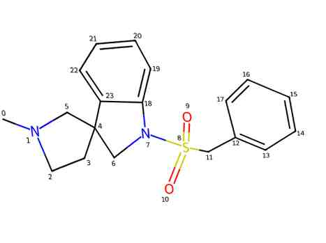 CN1CCC2(C1)CN(S(=O)(=O)Cc1ccccc1)c1ccccc12